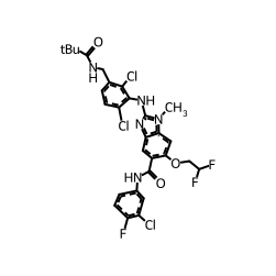 Cn1c(Nc2c(Cl)ccc(CNC(=O)C(C)(C)C)c2Cl)nc2cc(C(=O)Nc3ccc(F)c(Cl)c3)c(OCC(F)F)cc21